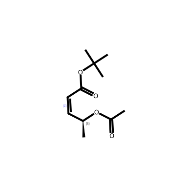 CC(=O)O[C@@H](C)/C=C\C(=O)OC(C)(C)C